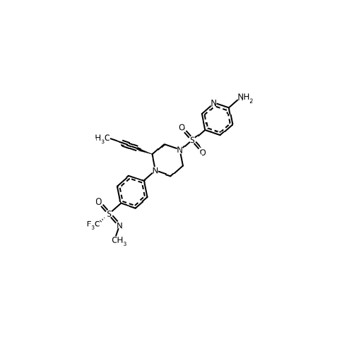 CC#C[C@H]1CN(S(=O)(=O)c2ccc(N)nc2)CCN1c1ccc([S@](=O)(=NC)C(F)(F)F)cc1